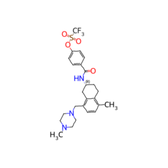 Cc1ccc(CN2CCN(C)CC2)c2c1CC[C@@H](NC(=O)c1ccc(OS(=O)(=O)C(F)(F)F)cc1)C2